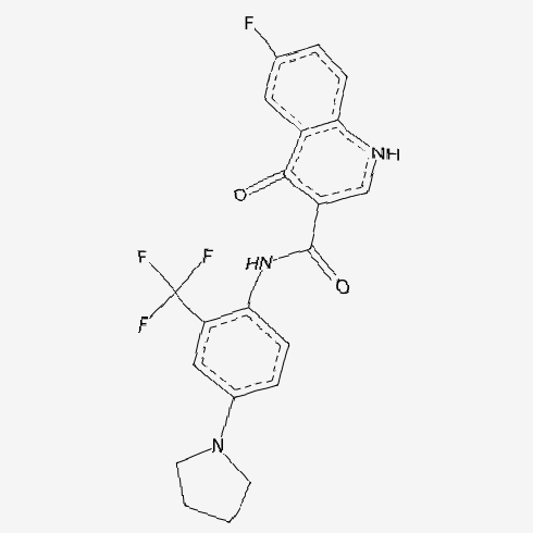 O=C(Nc1ccc(N2CCCC2)cc1C(F)(F)F)c1c[nH]c2ccc(F)cc2c1=O